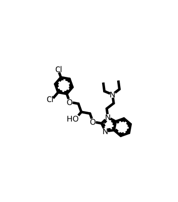 CCN(CC)CCn1c(OCC(O)COc2ccc(Cl)cc2Cl)nc2ccccc21